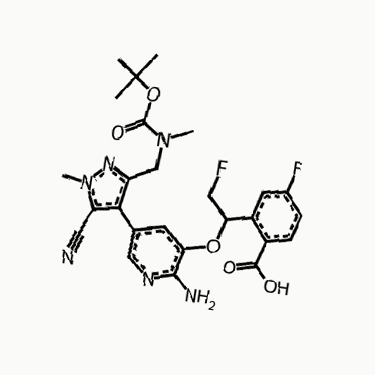 CN(Cc1nn(C)c(C#N)c1-c1cnc(N)c(OC(CF)c2cc(F)ccc2C(=O)O)c1)C(=O)OC(C)(C)C